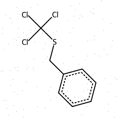 ClC(Cl)(Cl)SCc1ccccc1